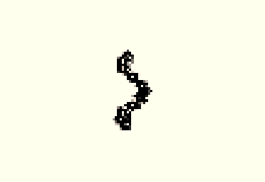 c1cnc2c(c1)ccc1ccc(-c3ccc(-c4ccc5oc6ccc(-c7ccc(-c8ccc9ccc%10cccnc%10c9n8)cc7)cc6c5c4)cc3)nc12